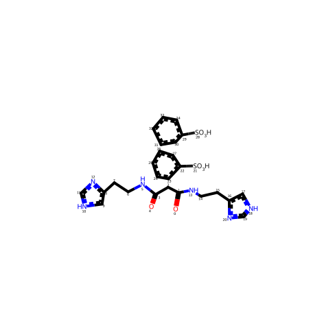 O=C(CC(=O)NCCc1c[nH]cn1)NCCc1c[nH]cn1.O=S(=O)(O)c1ccccc1.O=S(=O)(O)c1ccccc1